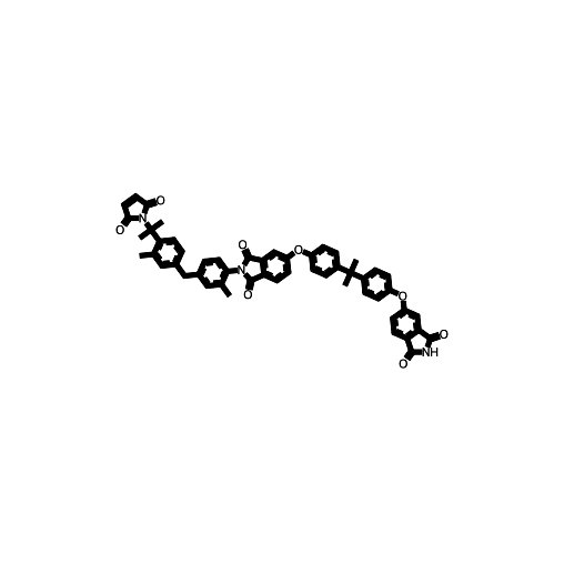 Cc1cc(Cc2ccc(C(C)(C)N3C(=O)C=CC3=O)c(C)c2)ccc1N1C(=O)c2ccc(Oc3ccc(C(C)(C)c4ccc(Oc5ccc6c(c5)C(=O)NC6=O)cc4)cc3)cc2C1=O